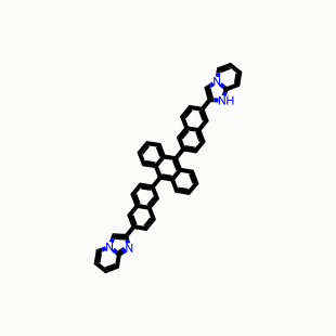 C1=CC2NC(c3ccc4cc(-c5c6ccccc6c(-c6ccc7cc(-c8cn9ccccc9n8)ccc7c6)c6ccccc56)ccc4c3)=CN2C=C1